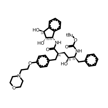 CC(C)(C)OC(=O)N[C@@H](Cc1ccccc1)[C@@H](O)C[C@@H](Cc1ccc(OCCN2CCOCC2)cc1)C(=O)N[C@H]1c2ccccc2[C@H](O)[C@H]1O